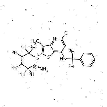 [2H]C1=C([2H])C([2H])([2H])[C@H](c2sc3c(NC([2H])([2H])c4ccccc4)cc(Cl)nc3c2C)[C@@H](N)C1([2H])[2H]